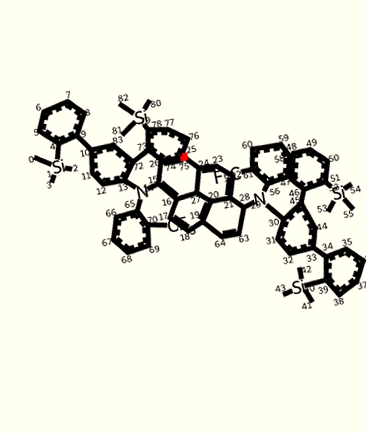 C[Si](C)(C)c1ccccc1-c1ccc(N(C2=C3C=CC4=C5C(=CC=C(C=C2)C35)C(N(c2ccc(-c3ccccc3[Si](C)(C)C)cc2-c2ccccc2[Si](C)(C)C)c2ccccc2C(F)(F)F)C=C4)c2ccccc2C(F)(F)F)c(-c2ccccc2[Si](C)(C)C)c1